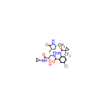 C[C@@H]1C[C@@H](C[C@H](NC(=O)c2cc(Cl)ccc2NC(=O)C2(C(F)(F)F)CC2)C(O)C(=O)NC2CC2)C(=O)N1